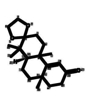 CC12CCC3(OCCO3)C(C)(C)[C@@H]1CC[C@@]1(C)CCC(=O)C=C21